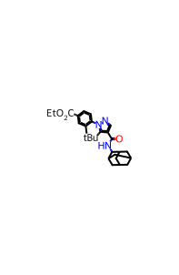 CCOC(=O)c1ccc(-n2ncc(C(=O)NC3C4CC5CC(C4)CC3C5)c2C(C)(C)C)c(C)c1